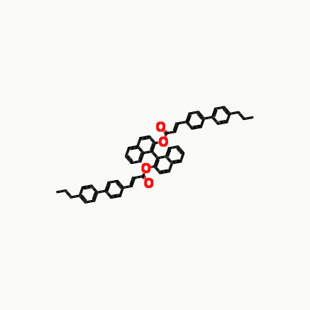 CCCc1ccc(-c2ccc(/C=C/C(=O)Oc3ccc4ccccc4c3-c3c(OC(=O)/C=C/c4ccc(-c5ccc(CCC)cc5)cc4)ccc4ccccc34)cc2)cc1